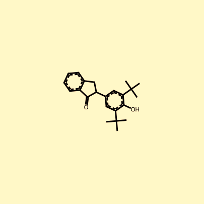 CC(C)(C)c1cc(C2Cc3ccccc3C2=O)cc(C(C)(C)C)c1O